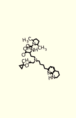 CC1CCC(C)N1C(=O)NC(CCN(CCCCc1ccc2c(n1)NCCC2)CCOC1(C)CC1)C(=O)O